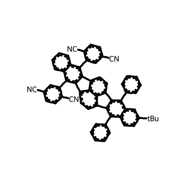 CC(C)(C)c1ccc2c(-c3ccccc3)c3c(c(-c4ccccc4)c2c1)-c1ccc2c4c(ccc-3c14)-c1c-2c(-c2cc(C#N)ccc2C#N)c2ccccc2c1-c1cc(C#N)ccc1C#N